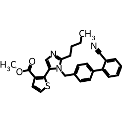 CCCCc1ncc(-c2sccc2C(=O)OC)n1Cc1ccc(-c2ccccc2C#N)cc1